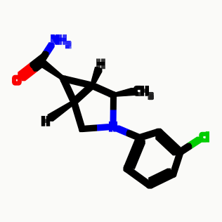 C[C@@H]1[C@@H]2[C@H](CN1c1cccc(Cl)c1)[C@H]2C(N)=O